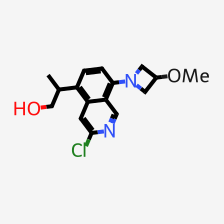 COC1CN(c2ccc(C(C)CO)c3cc(Cl)ncc23)C1